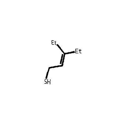 CCC(=CCS)CC